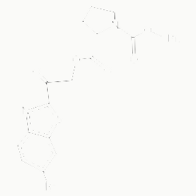 CC(C)(C)OC(=O)N1CCC[C@H]1C(=O)OCC(=O)c1nc2ccc(Br)cc2s1